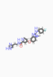 Cn1c(Nc2ccc(F)cc2)nc2cc(Oc3ccnc(C(=O)NCCc4c[nH]cn4)c3)ccc21